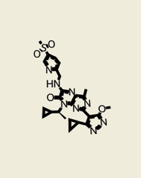 COc1ncnc(C2CC2)c1-c1nc(C)c2nc(NCc3ccc(S(C)(=O)=O)cn3)c(=O)n([C@@H](C)C3CC3)c2n1